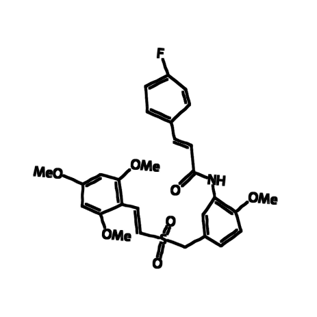 COc1cc(OC)c(C=CS(=O)(=O)Cc2ccc(OC)c(NC(=O)C=Cc3ccc(F)cc3)c2)c(OC)c1